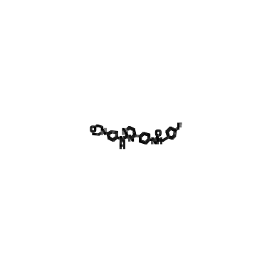 O=C(Cc1ccc(F)cc1)Nc1ccc(-c2ccnc(Nc3ccc(N4CCOCC4)cc3)n2)cc1